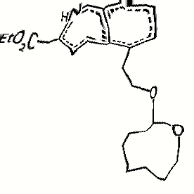 CCOC(=O)c1cc2c(COC3CCCCO3)cccc2[nH]1